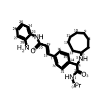 CC(C)NC(=O)C(NC1CCCCCCC1)c1ccc(C=CC(=O)Nc2ccccc2N)cc1